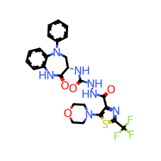 O=C(NNC(=O)c1nc(C(F)(F)F)sc1N1CCOCC1)N[C@H]1CN(c2ccccc2)c2ccccc2NC1=O